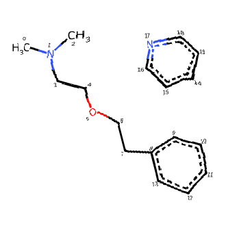 CN(C)CCOCCc1ccccc1.c1ccncc1